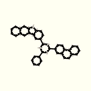 c1ccc(-c2nc(-c3ccc4c(ccc5ccccc54)c3)nc(-c3ccc4oc5cc6ccccc6cc5c4c3)n2)cc1